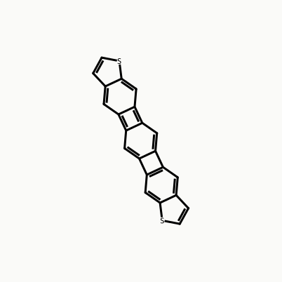 c1cc2cc3c(cc2s1)c1cc2c4cc5ccsc5cc4c2cc31